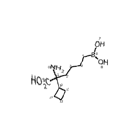 NC(CCCCB(O)O)(C(=O)O)C1CCC1